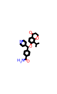 CC(C)c1c(O[C@@H](c2ccncc2)c2ccc(C(N)=O)cc2)ccc2c1OCCC2=O